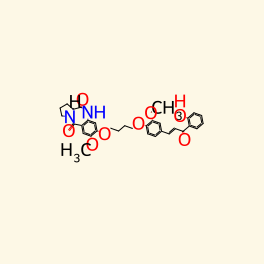 COc1cc(/C=C/C(=O)c2ccccc2O)ccc1OCCCCOc1cc2c(cc1OC)C(=O)N1CCC[C@H]1C(=O)N2